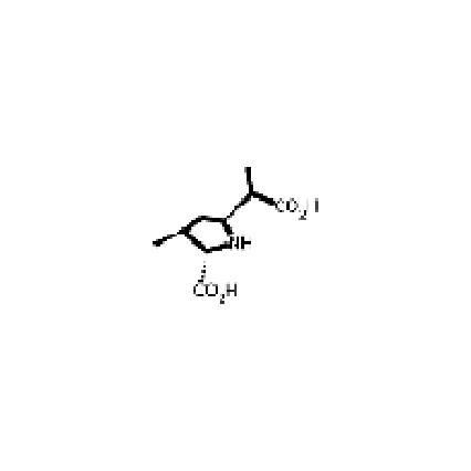 CC(C(=O)O)[C@@H]1C[C@H](C)[C@@H](C(=O)O)N1